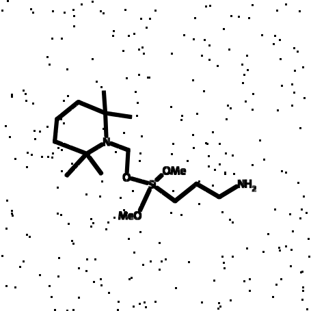 CO[Si](CCCN)(OC)OCN1C(C)(C)CCCC1(C)C